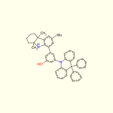 CC(C)(C)c1cc(-c2cc(O)cc(N3c4ccccc4C(c4ccccc4)(c4ccccc4)c4ccccc43)c2)c2c(c1)C1(C)CCCCC1(C)N2